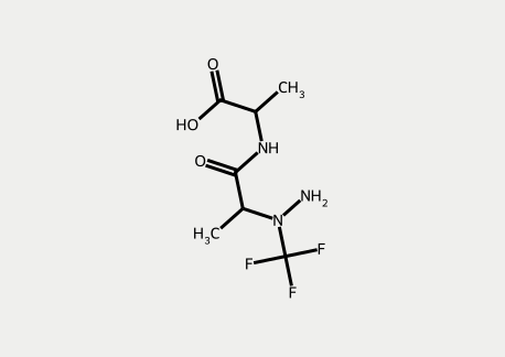 CC(NC(=O)C(C)N(N)C(F)(F)F)C(=O)O